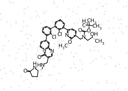 COc1nc(-c2cccc(-c3cccc(-c4ccn5c(=O)c(CNC[C@@H]6CCC(=O)N6)cnc5c4)c3Cl)c2Cl)ccc1CN(C[C@@H](C)O)C(=O)OC(C)(C)C